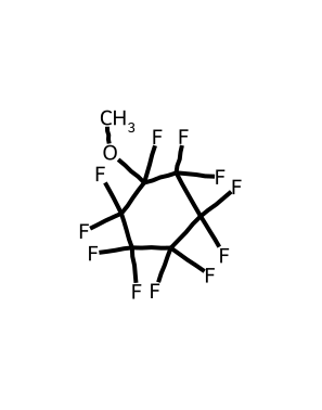 COC1(F)C(F)(F)C(F)(F)C(F)(F)C(F)(F)C1(F)F